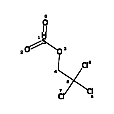 O=[SH](=O)OCC(Cl)(Cl)Cl